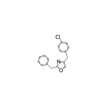 Clc1ccc(Cc2coc(Cc3ccccc3)n2)cc1